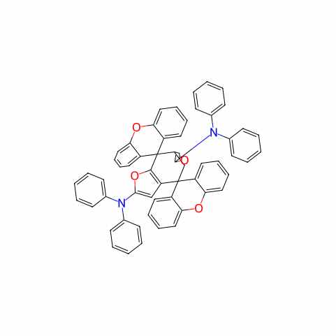 c1ccc(N(c2ccccc2)c2cc3c(o2)C2(c4ccccc4Oc4ccccc42)c2cc(N(c4ccccc4)c4ccccc4)oc2C32c3ccccc3Oc3ccccc32)cc1